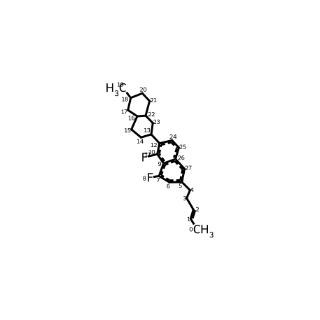 C/C=C/CCc1cc(F)c2c(F)c(C3CCC4CC(C)CCC4C3)ccc2c1